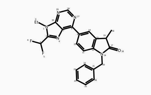 CCn1c(C(F)F)nc2c(-c3ccc4c(c3)C(C)C(=O)N4Cc3ccccc3)ncnc21